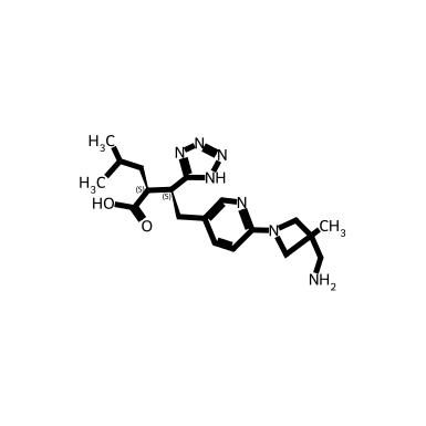 CC(C)C[C@H](C(=O)O)[C@H](Cc1ccc(N2CC(C)(CN)C2)nc1)c1nnn[nH]1